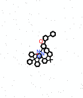 CC1(C)c2cccc(-c3nc(-c4ccc5c(c4)oc4ccc(-c6ccccc6)cc45)nc(-c4ccccc4C4(c5ccccc5)c5ccccc5-c5ccccc54)n3)c2-c2c1ccc1ccccc21